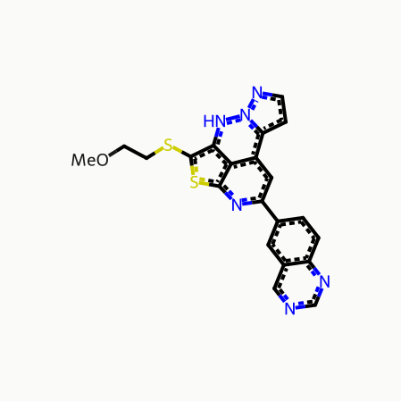 COCCSc1sc2nc(-c3ccc4ncncc4c3)cc3c2c1[nH]n1nccc31